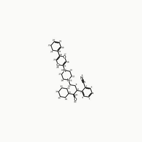 N#Cc1ccccc1C(CCN1CCN(C2=COC(C3=CC=CCC3)=CO2)CC1)C(=O)C1CCCCC1